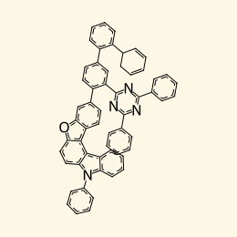 C1=CCC(c2ccccc2-c2ccc(-c3ccc4c(c3)oc3ccc5c(c6ccccc6n5-c5ccccc5)c34)c(-c3nc(-c4ccccc4)nc(-c4ccccc4)n3)c2)C=C1